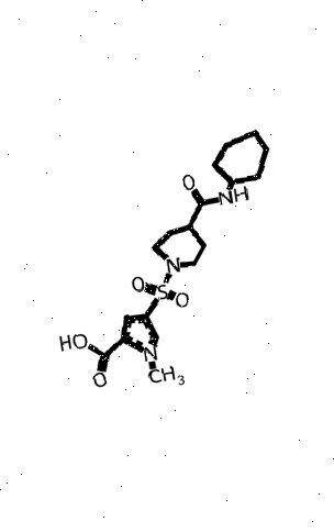 Cn1cc(S(=O)(=O)N2CCC(C(=O)NC3CCCCC3)CC2)cc1C(=O)O